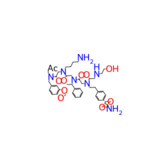 CC(=O)CN(Cc1ccc2c(c1)OCO2)C(=O)CN(CCCCN)C(=O)CN(C(=O)CN(CCc1ccc(S(N)(=O)=O)cc1)C(=O)CNCCO)C(C)c1ccccc1